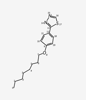 CCCCCCCCOc1ccc(-c2nncs2)cc1